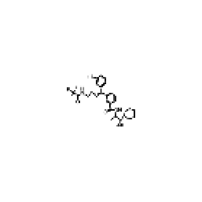 CNC(C1CCCCC1)C(C)NC(=O)c1cccc(C(OCCNC(=O)C(F)(F)F)c2cccc(Cl)c2)c1